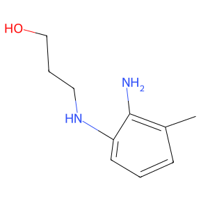 Cc1cccc(NCCCO)c1N